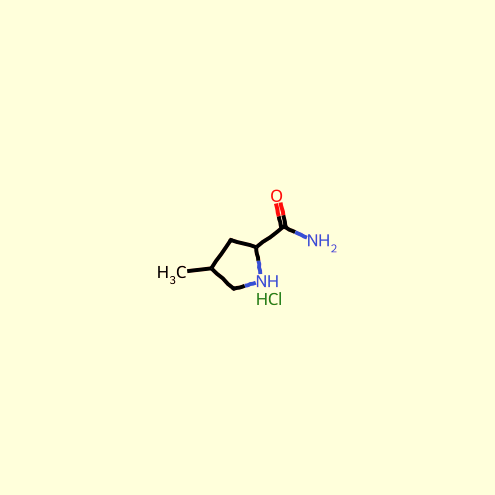 CC1CNC(C(N)=O)C1.Cl